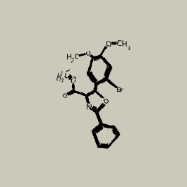 COC(=O)C1N=C(c2ccccc2)OC1c1cc(OC)c(OC)cc1Br